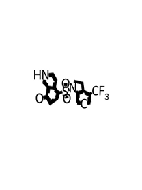 O=c1ccc(S(=O)(=O)N2CCc3c2cccc3C(F)(F)F)c2cc[nH]cc1-2